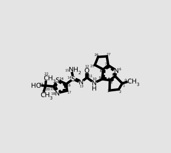 CC1CCc2c1nc1c(c2NC(=O)/N=S(\N)c2cnc(C(C)(C)O)s2)CCC1